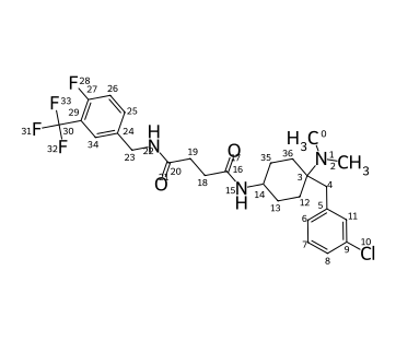 CN(C)C1(Cc2cccc(Cl)c2)CCC(NC(=O)CCC(=O)NCc2ccc(F)c(C(F)(F)F)c2)CC1